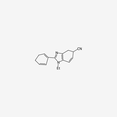 CCn1c(C2=CCCC=C2)nc2c1C=CC(C#N)C2